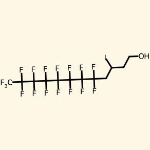 OCCC(I)CC(F)(F)C(F)(F)C(F)(F)C(F)(F)C(F)(F)C(F)(F)C(F)(F)C(F)(F)F